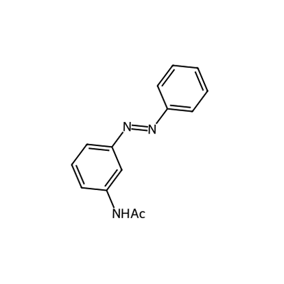 CC(=O)Nc1cccc(N=Nc2ccccc2)c1